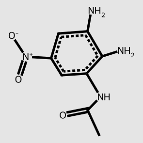 CC(=O)Nc1cc([N+](=O)[O-])cc(N)c1N